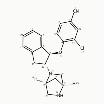 N#Cc1ccc(O[C@@H]2c3ccccc3C[C@H]2N2C[C@@H]3C[C@H]2CN3)c(Cl)c1